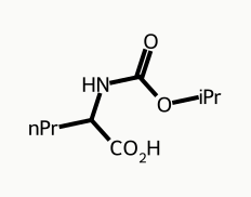 CCCC(NC(=O)OC(C)C)C(=O)O